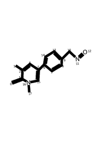 C=C1C(C)=CC(c2ccc(CN=O)cc2)=CN1C